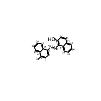 Cc1ccc(N=Nc2c(O)ccc3ccccc23)c2ccccc12